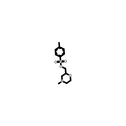 Cc1ccc(S(=O)(=O)OCC2CN(C)CCO2)cc1